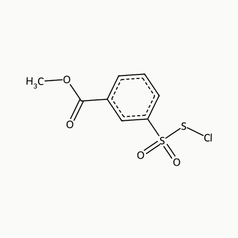 COC(=O)c1cccc(S(=O)(=O)SCl)c1